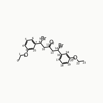 CCOc1cccc(C(Br)CC(=O)CC(Br)c2cccc(OCC)c2)c1